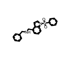 O=S(=O)(c1ccccc1)n1ccc2c(CNCc3ccccc3)cccc21